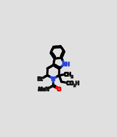 CCC1Cc2c([nH]c3ccccc23)C(C)(CC(=O)O)N1C(=O)NC